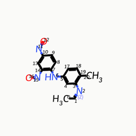 C/C=N\c1cc(Nc2ccc(N=O)cc2N=O)ccc1C